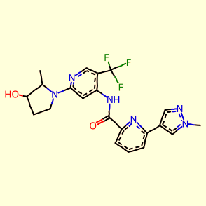 CC1C(O)CCN1c1cc(NC(=O)c2cccc(-c3cnn(C)c3)n2)c(C(F)(F)F)cn1